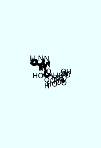 Nc1ncnc2c1c(C1=CC=CC1)cn2[C@@H]1O[C@H](COP(=O)(O)OP(=O)(O)OP(=O)(O)O)C(O)[C@@H]1O